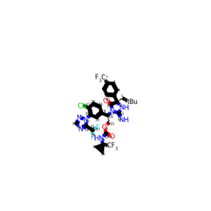 CC(C)(C)C[C@]1(c2ccc(C(F)(F)F)cc2)NC(=N)N([C@H](COC(=O)NC2(C(F)(F)F)CC2)c2ccc(Cl)c(-n3ncnc3C(F)F)c2)C1=O